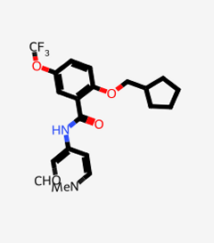 CN/C=C\C(=C/C=O)NC(=O)c1cc(OC(F)(F)F)ccc1OCC1CCCC1